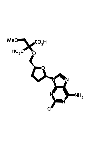 COCC(OC[C@@H]1CC[C@H](n2cnc3c(N)nc(Cl)nc32)O1)(C(=O)O)C(=O)O